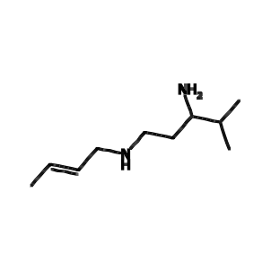 CC=CCNCCC(N)C(C)C